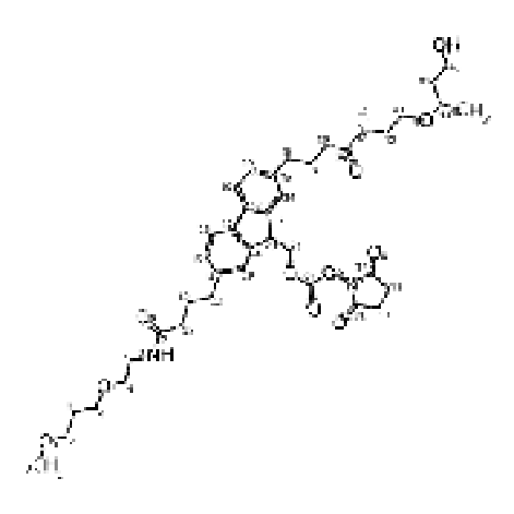 COCCCOCCNC(=O)CCCc1ccc2c(c1)C(COC(=O)ON1C(=O)CCC1=O)c1cc(CCCC(=O)NCCOC(C)CCO)ccc1-2